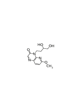 COc1ccc2ncc(=O)n(CCC(O)CO)c2n1